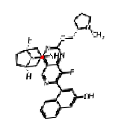 CN1CCC[C@H]1COc1nc(N2[C@@H]3CC[C@H]2CC(N)C3)c2cnc(-c3cc(O)cc4ccccc34)c(F)c2n1